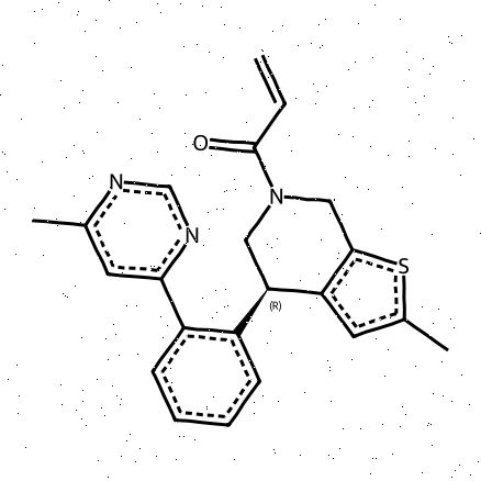 C=CC(=O)N1Cc2sc(C)cc2[C@@H](c2ccccc2-c2cc(C)ncn2)C1